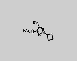 COc1nn(C2CCC2)cc1C(C)C